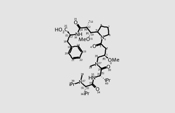 CO[C@H](CC(=O)N1CCCC1[C@H](OC)[C@@H](C)C(=O)N[C@@H](Cc1ccccc1)C(=O)O)CN(C)C(=O)[C@@H](NC(=O)[C@H](C(C)C)N(C)C(C)C)C(C)C